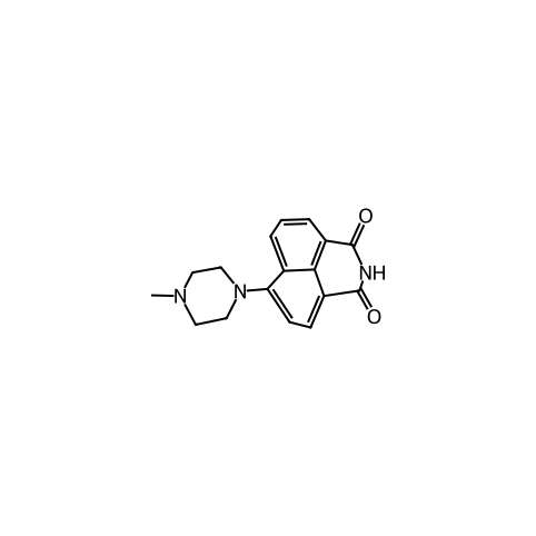 CN1CCN(c2ccc3c4c(cccc24)C(=O)NC3=O)CC1